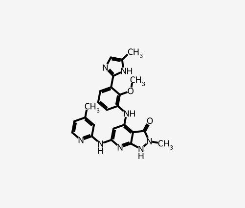 COc1c(Nc2cc(Nc3cc(C)ccn3)nc3[nH]n(C)c(=O)c23)cccc1-c1ncc(C)[nH]1